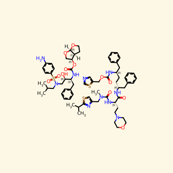 CC(C)CN(C[C@@H](O)[C@H](Cc1ccccc1)NC(=O)O[C@H]1CO[C@H]2OCC[C@H]21)S(=O)(=O)c1ccc(N)cc1.CC(C)c1nc(CN(C)C(=O)N[C@@H](CCN2CCOCC2)C(=O)N[C@H](CC[C@H](Cc2ccccc2)NC(=O)OCc2cncs2)Cc2ccccc2)cs1